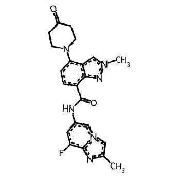 Cc1cn2cc(NC(=O)c3ccc(N4CCC(=O)CC4)c4cn(C)nc34)cc(F)c2n1